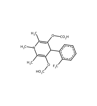 CC1=C(OC(=O)O)C(c2ccccc2C(F)(F)F)C(OC(=O)O)=C(C)N1C